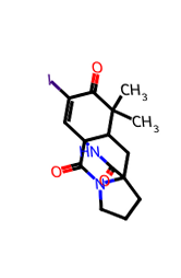 CC1(C)C(=O)C(I)=CC23NC(=O)C4(CCCN4C2=O)CC13